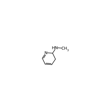 CNC1CC=CC=N1